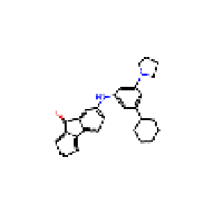 O=C1c2ccccc2-c2ccc(Nc3cc(C4CCCCC4)cc(N4CCCC4)c3)cc21